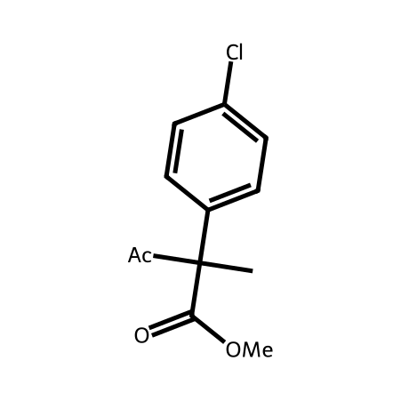 COC(=O)C(C)(C(C)=O)c1ccc(Cl)cc1